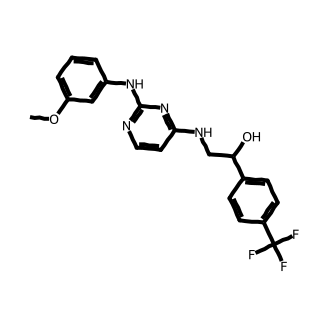 COc1cccc(Nc2nccc(NCC(O)c3ccc(C(F)(F)F)cc3)n2)c1